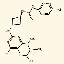 Cc1nc(N[C@H]2C[C@H](NC(=O)Nc3ccc(Cl)nc3)C2)nc2c1NC(O)[C@H](C)N2C